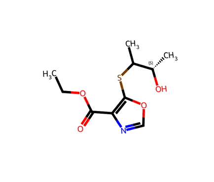 CCOC(=O)c1ncoc1SC(C)[C@H](C)O